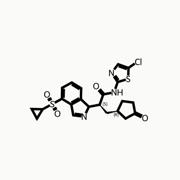 O=C1CC[C@H](C[C@H](C(=O)Nc2ncc(Cl)s2)C2N=Cc3c2cccc3S(=O)(=O)C2CC2)C1